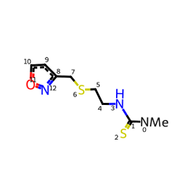 CNC(=S)NCCSCc1ccon1